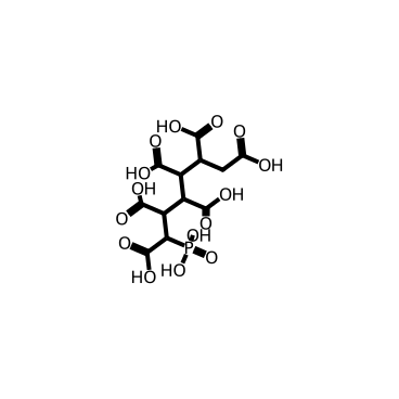 O=C(O)CC(C(=O)O)C(C(=O)O)C(C(=O)O)C(C(=O)O)C(C(=O)O)P(=O)(O)O